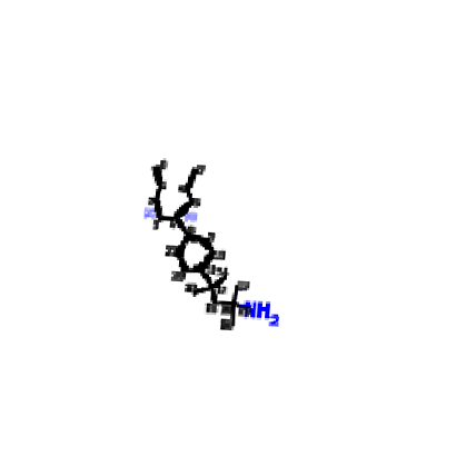 C=C/C=C\C(=C/C=C)c1ccc(C(C)(C)CC(C)(C)N)cc1